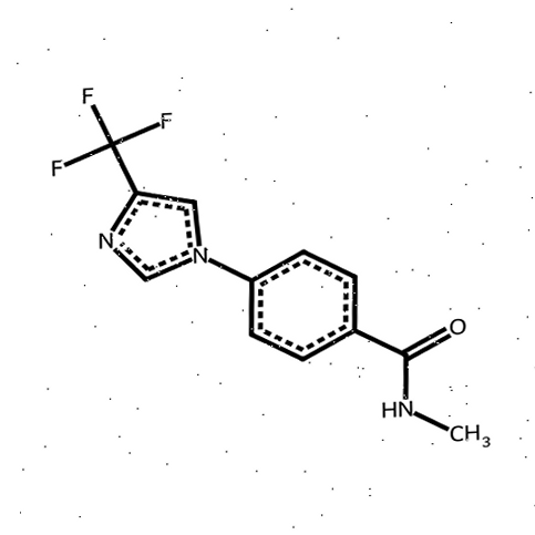 CNC(=O)c1ccc(-n2cnc(C(F)(F)F)c2)cc1